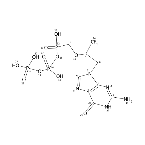 Nc1nc2c(ncn2CC(OCP(=O)(O)OP(=O)(O)OP(=O)(O)O)C(F)(F)F)c(=O)[nH]1